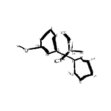 COc1cccc(C(Cl)(C2CCCCC2)N(C)C)c1